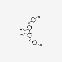 N#Cc1ccc(Oc2ccc(-c3ccc(Oc4ccc(C#N)cc4)cc3CO)c(CO)c2)cc1